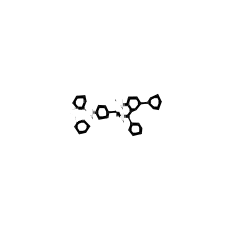 c1ccc(-c2ccc3nc(-c4ccc(N5c6ccccc6Sc6ccccc65)cc4)nc(-c4ccccc4)c3c2)cc1